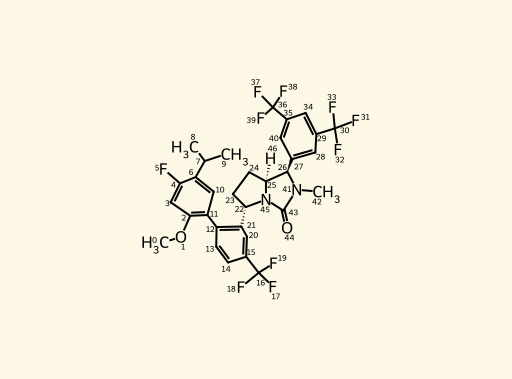 COc1cc(F)c(C(C)C)cc1-c1ccc(C(F)(F)F)cc1[C@@H]1CC[C@H]2[C@@H](c3cc(C(F)(F)F)cc(C(F)(F)F)c3)N(C)C(=O)N12